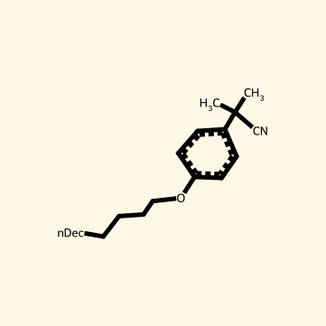 CCCCCCCCCCCCCCOc1ccc(C(C)(C)C#N)cc1